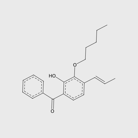 CC=Cc1ccc(C(=O)c2ccccc2)c(O)c1OCCCCC